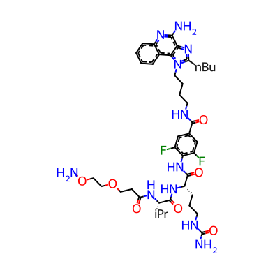 CCCCc1nc2c(N)nc3ccccc3c2n1CCCCNC(=O)c1cc(F)c(NC(=O)[C@H](CCCNC(N)=O)NC(=O)[C@@H](NC(=O)CCOCCON)C(C)C)c(F)c1